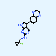 FC1(CNc2ncc3c(-c4ccc5nccnc5c4)c[nH]c3n2)CC1